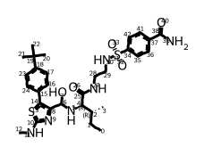 CC[C@@H](C)[C@@H](NC(O)c1nc(NC)sc1-c1ccc(C(C)(C)C)cc1)C(=O)NCCNS(=O)(=O)c1ccc(C(N)=O)cc1